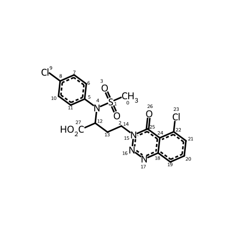 CS(=O)(=O)N(c1ccc(Cl)cc1)C(CCn1nnc2cccc(Cl)c2c1=O)C(=O)O